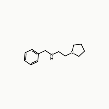 c1ccc(CNCCN2CCCC2)cc1